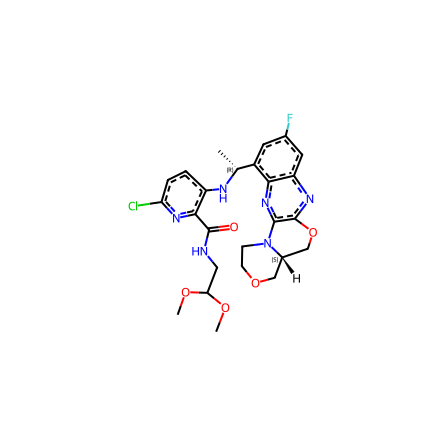 COC(CNC(=O)c1nc(Cl)ccc1N[C@H](C)c1cc(F)cc2nc3c(nc12)N1CCOC[C@H]1CO3)OC